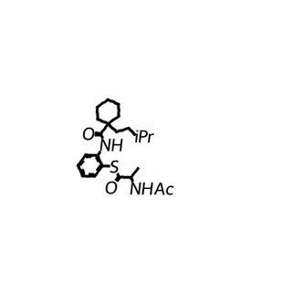 CC(=O)NC(C)C(=O)Sc1ccccc1NC(=O)C1(CCC(C)C)CCCCC1